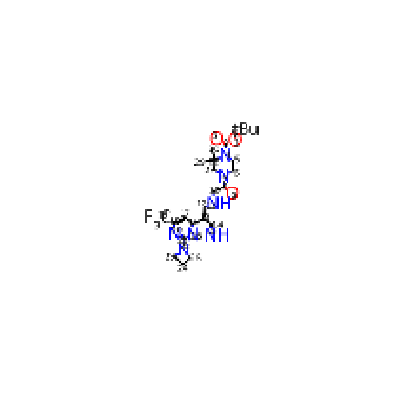 CC(C)(C)OC(=O)N1CCN(C(=O)CN/C=C(\C=N)c2cc(C(F)(F)F)nc(N3CCC3)n2)CC1(C)C